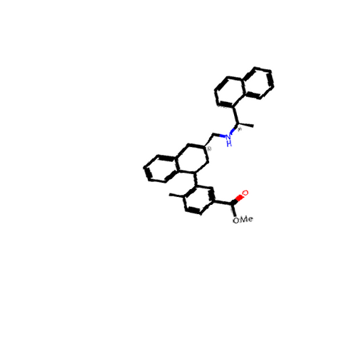 COC(=O)c1ccc(C)c(C2C[C@H](CN[C@H](C)c3cccc4ccccc34)Cc3ccccc32)c1